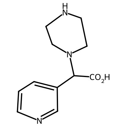 O=C(O)C(c1cccnc1)N1CCNCC1